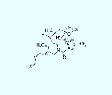 C=C/C=C\C=C(/C=C)CN(CCN(CC)C(C)(C)CC(C)(C)OCC)C(=O)c1cc(C(F)(F)F)n[nH]1